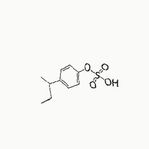 CCC(C)c1ccc(OS(=O)(=O)O)cc1